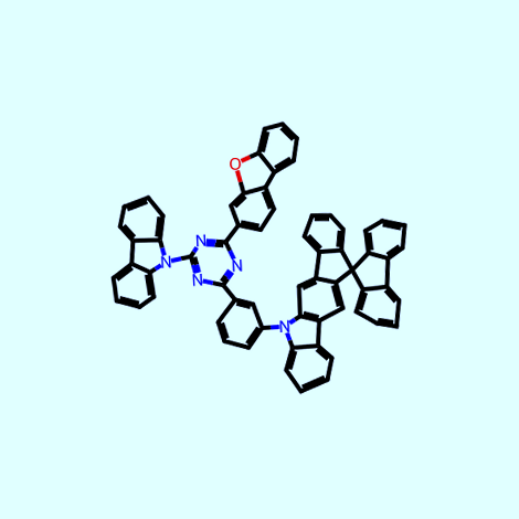 c1cc(-c2nc(-c3ccc4c(c3)oc3ccccc34)nc(-n3c4ccccc4c4ccccc43)n2)cc(-n2c3ccccc3c3cc4c(cc32)-c2ccccc2C42c3ccccc3-c3ccccc32)c1